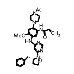 C=CC(=O)Nc1cc(Nc2cc(N3OCC[C@@H]3Cc3ccccc3)ncn2)c(OC)cc1N1CCN(C(C)=O)CC1